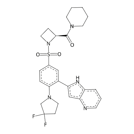 O=C([C@@H]1CCN1S(=O)(=O)c1ccc(N2CCC(F)(F)C2)c(-c2cc3ncccc3[nH]2)c1)N1CCCCC1